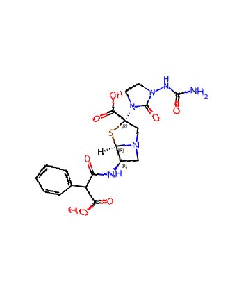 NC(=O)NN1CCN([C@]2(C(=O)O)CN3C[C@@H](NC(=O)C(C(=O)O)c4ccccc4)[C@H]3S2)C1=O